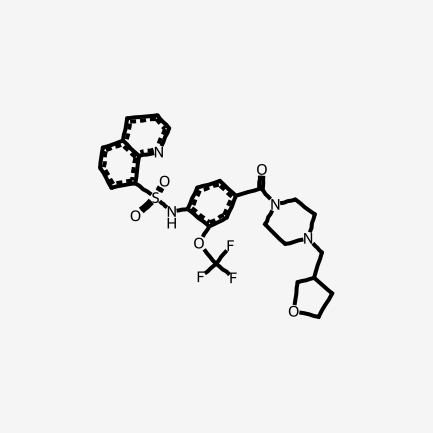 O=C(c1ccc(NS(=O)(=O)c2cccc3cccnc23)c(OC(F)(F)F)c1)N1CCN(CC2CCOC2)CC1